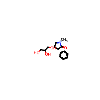 CN1CCCC1=O.OCC(O)CO.c1ccccc1